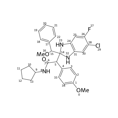 COc1ccc(C(C(=O)NC2CCCC2)C2(C(OC)c3ccccc3)Nc3cc(F)c(Cl)cc3N2)cc1